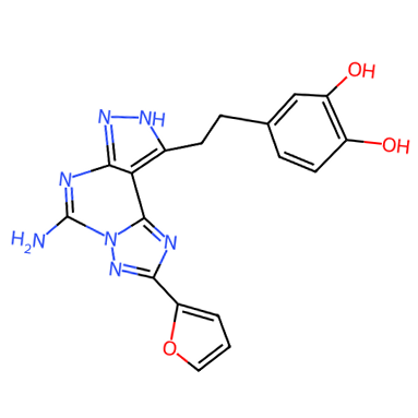 Nc1nc2n[nH]c(CCc3ccc(O)c(O)c3)c2c2nc(-c3ccco3)nn12